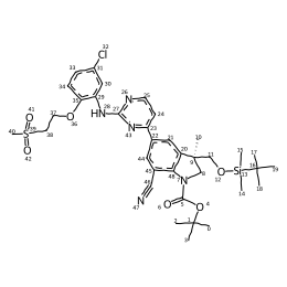 CC(C)(C)OC(=O)N1C[C@](C)(CO[Si](C)(C)C(C)(C)C)c2cc(-c3ccnc(Nc4cc(Cl)ccc4OCCS(C)(=O)=O)n3)cc(C#N)c21